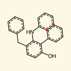 Oc1ccc(Cc2ccccc2)c(Nc2ccccc2)c1-c1ccccc1